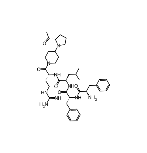 CC(=O)[C@@H]1CCCN1C1CCN(C(=O)[C@@H](CCNC(=N)N)NC(=O)[C@@H](CC(C)C)NC(=O)[C@@H](Cc2ccccc2)NC(=O)[C@H](N)Cc2ccccc2)CC1